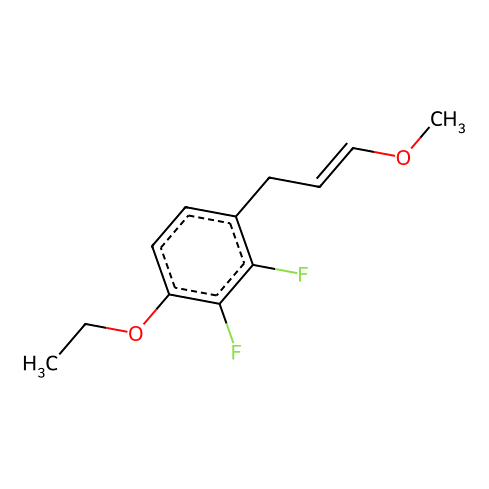 CCOc1ccc(CC=COC)c(F)c1F